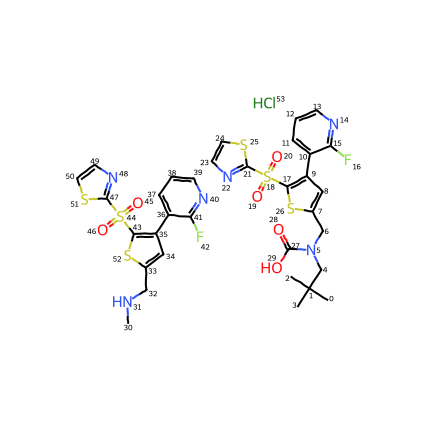 CC(C)(C)CN(Cc1cc(-c2cccnc2F)c(S(=O)(=O)c2nccs2)s1)C(=O)O.CNCc1cc(-c2cccnc2F)c(S(=O)(=O)c2nccs2)s1.Cl